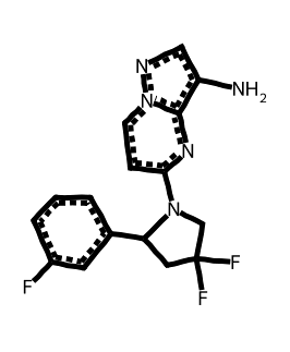 Nc1cnn2ccc(N3CC(F)(F)CC3c3cccc(F)c3)nc12